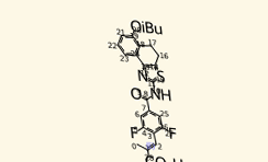 C/C(=C\c1c(F)cc(C(=O)Nc2nc3c(s2)CCc2c(OCC(C)C)cccc2-3)cc1F)C(=O)O